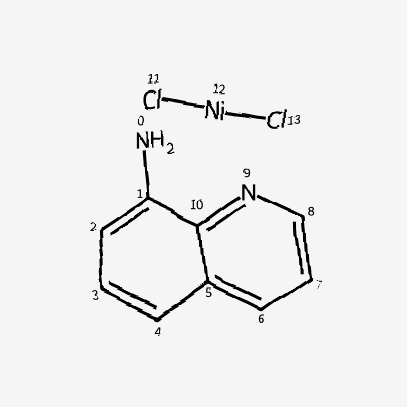 Nc1cccc2cccnc12.[Cl][Ni][Cl]